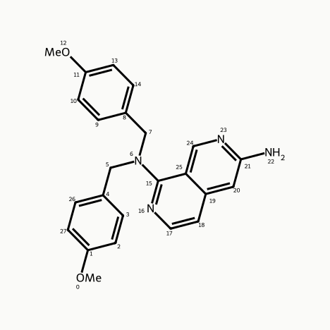 COc1ccc(CN(Cc2ccc(OC)cc2)c2nccc3cc(N)ncc23)cc1